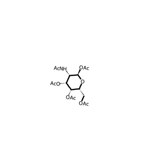 CC(=O)N[C@@H]1[C@@H](OC(C)=O)O[C@H](COC(C)=O)[C@H](OC(C)=O)[C@@H]1OC(C)=O